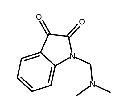 CN(C)CN1C(=O)C(=O)c2ccccc21